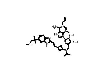 CCCN1CN(C)C2C(NCN2[C@@H]2O[C@H](CN(C(C)C)C3CC(CCC4Nc5ccc(C(C)(C)COC)cc5N4)C3)[C@@H](O)[C@H]2O)C1N